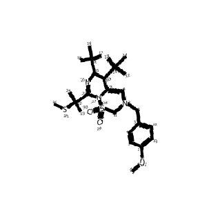 COc1ccc(CN2C=C3C(C(C)(C)C)C(C(C)(C)C)N=C(C(C)(C)SC)N3S(=O)(=O)C2)cc1